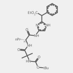 CCC[C@@H](NC(=O)C(C)(C)NC(=O)OC(C)(C)C)C(=O)Nc1c[nH]c(C(C(=O)OCC)c2ccccc2)n1